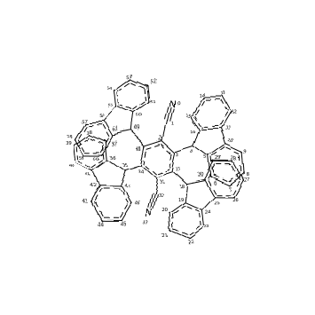 N#Cc1c(C2c3ccccc3-c3ccccc32)c(C2c3ccccc3-c3ccccc32)c(C#N)c(C2c3ccccc3-c3ccccc32)c1C1c2ccccc2-c2ccccc21